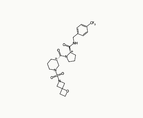 O=C(NCc1ccc(C(F)(F)F)cc1)[C@H]1CCCN1C(=O)[C@H]1CCCN(S(=O)(=O)N2CC3(CCO3)C2)C1